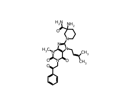 CC(C)=CCn1c(N2CCCC(N)(C(N)=O)C2)nc2c1c(=O)n(CC(=O)c1ccccc1)c(=O)n2C